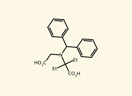 CCC(CC)(C(=O)O)N(CC(=O)O)C(c1ccccc1)c1ccccc1